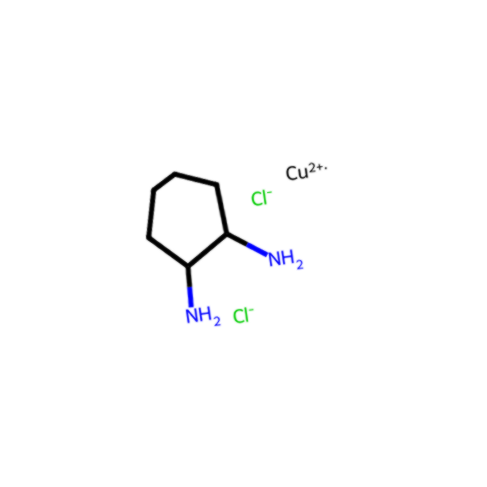 NC1CCCCC1N.[Cl-].[Cl-].[Cu+2]